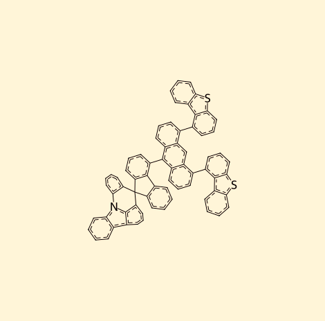 c1ccc2c(c1)-c1c(-c3c4cccc(-c5cccc6sc7ccccc7c56)c4cc4c(-c5cccc6sc7ccccc7c56)cccc34)cccc1C21c2ccccc2-n2c3ccccc3c3cccc1c32